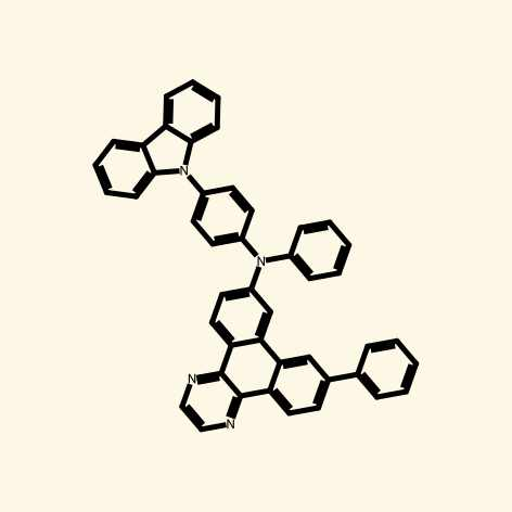 c1ccc(-c2ccc3c(c2)c2cc(N(c4ccccc4)c4ccc(-n5c6ccccc6c6ccccc65)cc4)ccc2c2nccnc32)cc1